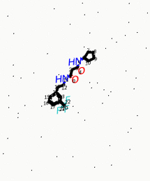 O=C(CC(=O)NC1CCCC1)NCCc1cccc(C(F)(F)F)c1